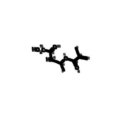 C=C(C)C(=O)OC(C)NC(=O)C(=O)O